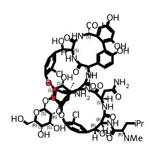 CN[C@H](CC(C)C)C(=O)N[C@H]1C(=O)N[C@@H](CC(N)=O)C(=O)NC2C(=O)N[C@H]3C(=O)N[C@H](C(=O)N[C@H](C(=O)O)c4cc(O)cc(O)c4-c4cc3ccc4O)C(O)c3ccc(c(Cl)c3)Oc3cc2cc(c3O[C@@H]2O[C@H](CO)[C@@H](O)[C@H](O)[C@H]2OC2C[C@](C)(N)[C@H](O)[C@H](C)O2)Oc2ccc(cc2Cl)[C@H]1O